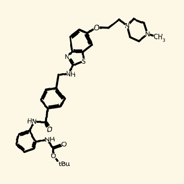 CN1CCN(CCOc2ccc3nc(NCc4ccc(C(=O)Nc5ccccc5NC(=O)OC(C)(C)C)cc4)sc3c2)CC1